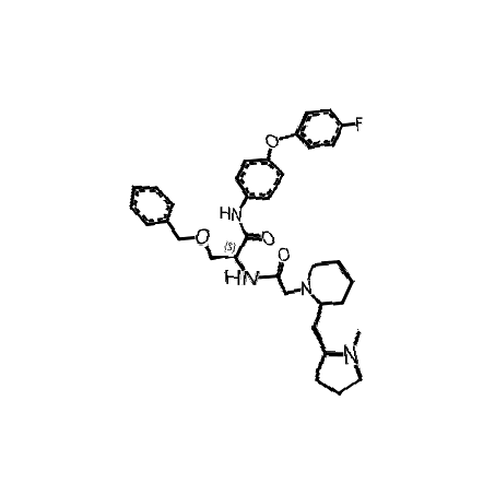 CN1CCCC1CC1CCCCN1CC(=O)N[C@@H](COCc1ccccc1)C(=O)Nc1ccc(Oc2ccc(F)cc2)cc1